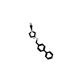 N#CN1CC[C@@H](OCc2ccc(-c3ccccc3)cc2)C1